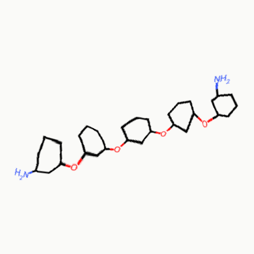 NC1CCCC(OC2CCCC(OC3CCCC(OC4CCCC(OC5CCCC(N)C5)C4)C3)C2)C1